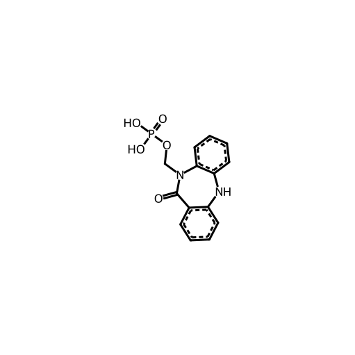 O=C1c2ccccc2Nc2ccccc2N1COP(=O)(O)O